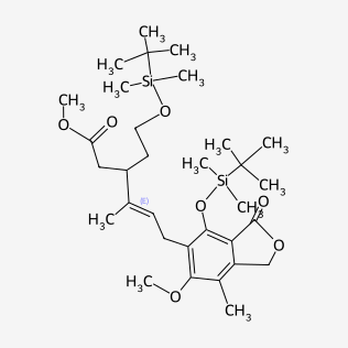 COC(=O)CC(CCO[Si](C)(C)C(C)(C)C)/C(C)=C/Cc1c(OC)c(C)c2c(c1O[Si](C)(C)C(C)(C)C)C(=O)OC2